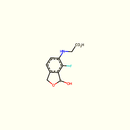 O=C(O)CNc1ccc2c(c1F)B(O)OC2